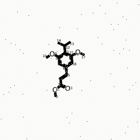 COC(=O)/C=C/c1cc(OC)c(C(C)C)c(OC)c1